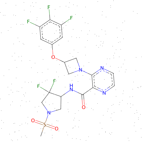 CS(=O)(=O)N1CC(NC(=O)c2nccnc2N2CC(Oc3cc(F)c(F)c(F)c3)C2)C(F)(F)C1